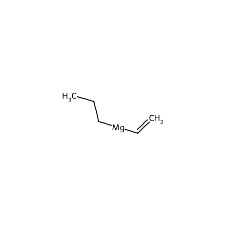 C=[CH][Mg][CH2]CC